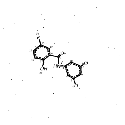 O=C(Nc1cc(Cl)cc(Cl)c1)c1cc(F)ccc1O